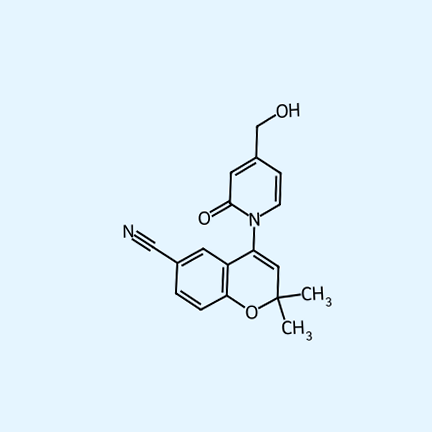 CC1(C)C=C(n2ccc(CO)cc2=O)c2cc(C#N)ccc2O1